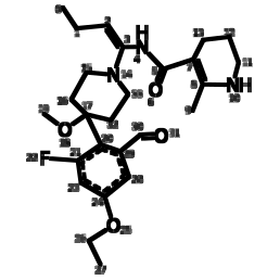 CC/C=C(/NC(=O)C1=C(C)NCCC1)N1CCC(OC)(c2c(F)cc(OCC)cc2C=O)CC1